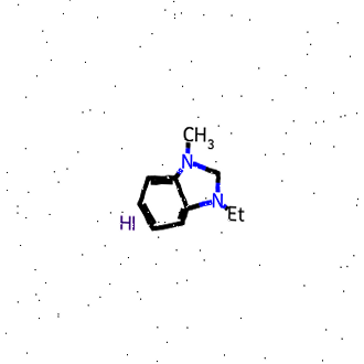 CCN1CN(C)c2ccccc21.I